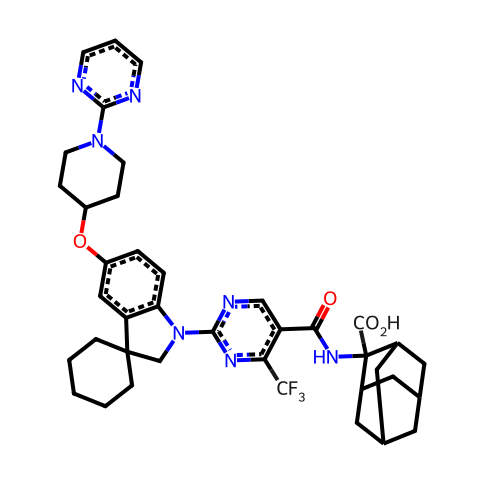 O=C(NC1(C(=O)O)C2CC3CC(C2)CC1C3)c1cnc(N2CC3(CCCCC3)c3cc(OC4CCN(c5ncccn5)CC4)ccc32)nc1C(F)(F)F